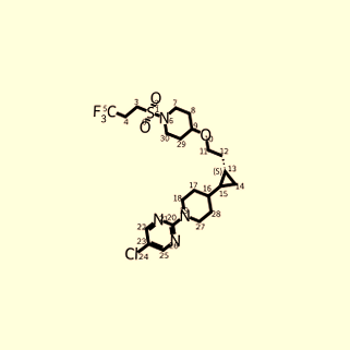 O=S(=O)(CCC(F)(F)F)N1CCC(OCC[C@@H]2CC2C2CCN(c3ncc(Cl)cn3)CC2)CC1